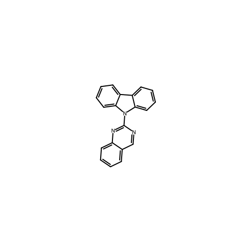 c1ccc2nc(-n3c4ccccc4c4ccccc43)ncc2c1